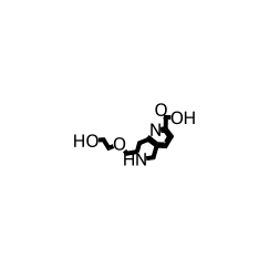 O=C(O)c1ccc2c(n1)CC(COCCO)NC2